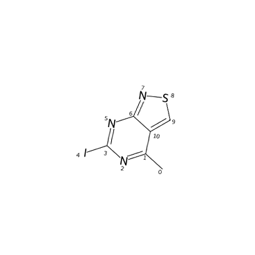 Cc1nc(I)nc2nscc12